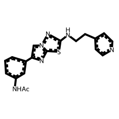 CC(=O)Nc1cccc(-c2cn3nc(NCCc4ccncc4)sc3n2)c1